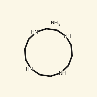 C1CNCCNCCCNCCNC1.N